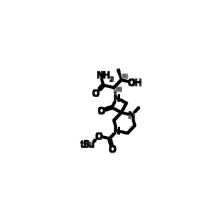 C[C@@H](O)[C@@H](C(N)=O)N1CC2(CN(C(=O)OC(C)(C)C)CCN2C)C1=O